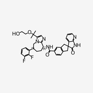 CC(C)(OCCO)c1cnc2n1C[C@H](c1cccc(F)c1F)CC[C@H]2NC(=O)c1ccc2c(c1)CC1(C2)C(=O)Nc2ncccc21